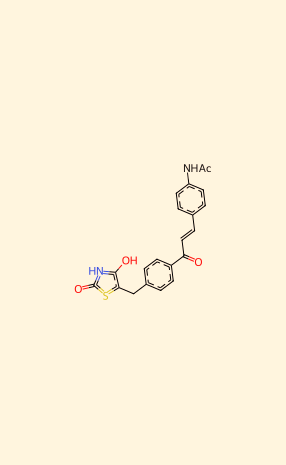 CC(=O)Nc1ccc(C=CC(=O)c2ccc(Cc3sc(=O)[nH]c3O)cc2)cc1